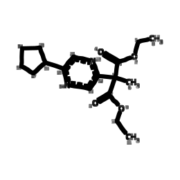 CCOC(=O)C(C)(C(=O)OCC)c1cnc(C2CCCC2)cn1